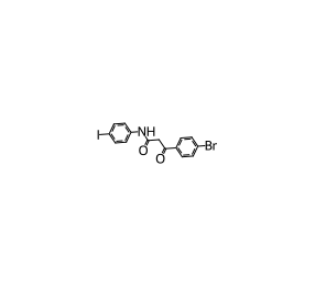 O=C(CC(=O)c1ccc(Br)cc1)Nc1ccc(I)cc1